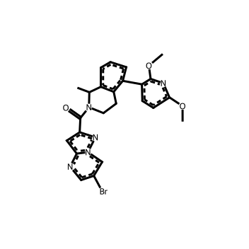 COc1ccc(-c2cccc3c2CCN(C(=O)c2cc4ncc(Br)cn4n2)C3C)c(OC)n1